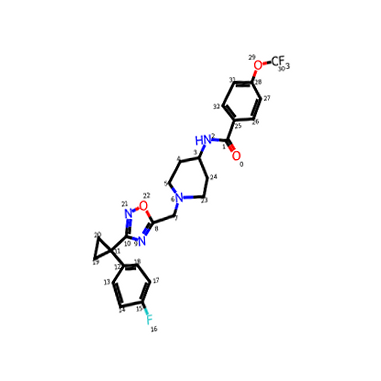 O=C(NC1CCN(Cc2nc(C3(c4ccc(F)cc4)CC3)no2)CC1)c1ccc(OC(F)(F)F)cc1